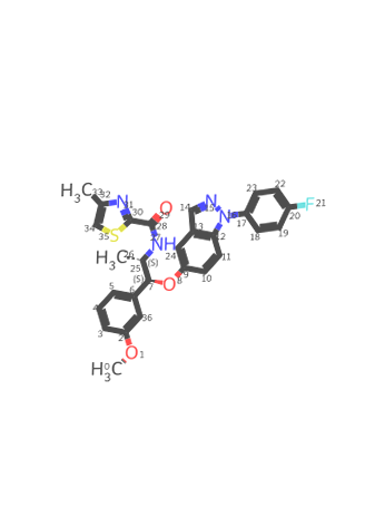 COc1cccc([C@H](Oc2ccc3c(cnn3-c3ccc(F)cc3)c2)[C@H](C)NC(=O)c2nc(C)cs2)c1